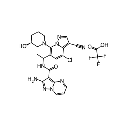 CC(NC(=O)c1c(N)nn2cccnc12)c1cc(Cl)c2c(C#N)cnn2c1N1CCC[C@H](O)C1.O=C(O)C(F)(F)F